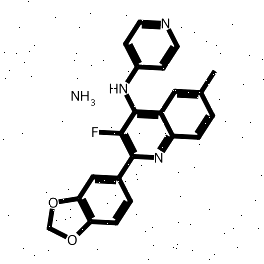 Cc1ccc2nc(-c3ccc4c(c3)OCO4)c(F)c(Nc3ccncc3)c2c1.N